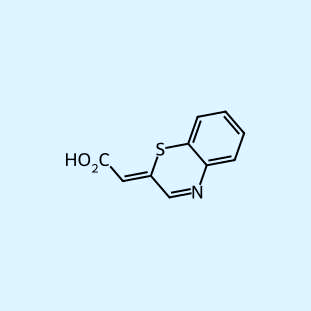 O=C(O)C=C1C=Nc2ccccc2S1